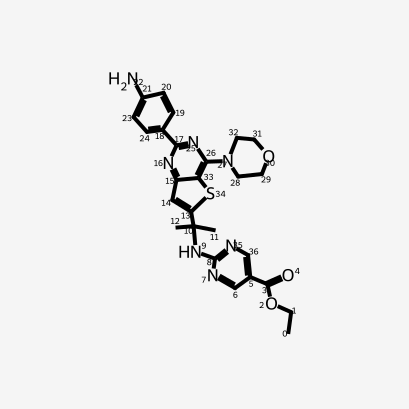 CCOC(=O)c1cnc(NC(C)(C)c2cc3nc(-c4ccc(N)cc4)nc(N4CCOCC4)c3s2)nc1